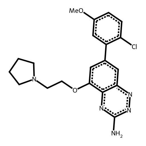 COc1ccc(Cl)c(-c2cc(OCCN3CCCC3)c3nc(N)nnc3c2)c1